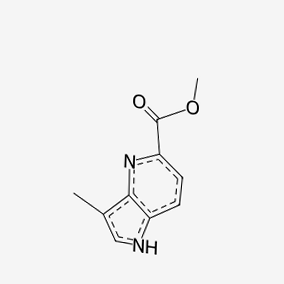 COC(=O)c1ccc2[nH]cc(C)c2n1